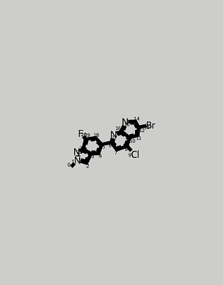 Cn1cc2cc(-c3cc(Cl)c4cc(Br)cnc4n3)cc(F)c2n1